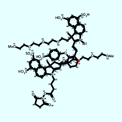 CC[N+]1=C(/C=C/C2=C(Oc3ccc(S(=O)(=O)O)cc3)C(=C/C=C3/N(CCCC(=O)ON4C(=O)CCC4=O)c4ccc5c(S(=O)(=O)O)cc(S(=O)(=O)O)cc5c4C3(C)CCOCCOCCOCCOC)/CCC2)C(C)(CCOCCOCCOCCOC)c2c1ccc1c(S(=O)(=O)O)cc(S(=O)(=O)O)cc21